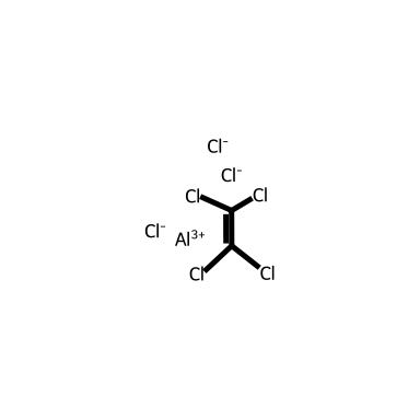 ClC(Cl)=C(Cl)Cl.[Al+3].[Cl-].[Cl-].[Cl-]